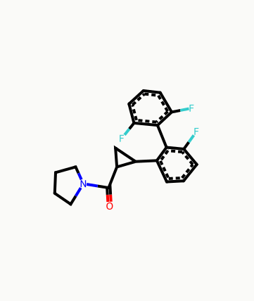 O=C(C1CC1c1cccc(F)c1-c1c(F)cccc1F)N1CCCC1